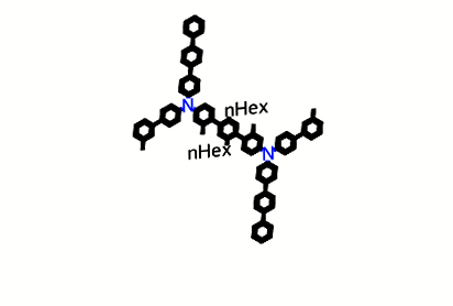 CCCCCCc1cc(-c2ccc(N(c3ccc(-c4ccc(-c5ccccc5)cc4)cc3)c3ccc(-c4cccc(C)c4)cc3)cc2C)c(CCCCCC)cc1-c1ccc(N(c2ccc(-c3ccc(-c4ccccc4)cc3)cc2)c2ccc(-c3cccc(C)c3)cc2)cc1C